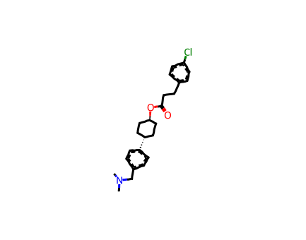 CN(C)Cc1ccc([C@H]2CC[C@H](OC(=O)CCc3ccc(Cl)cc3)CC2)cc1